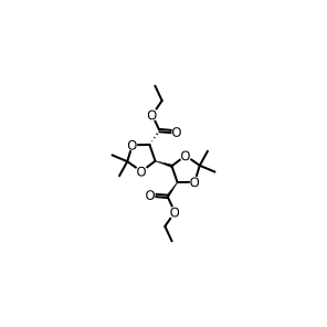 CCOC(=O)[C@H]1OC(C)(C)O[C@@H]1C1OC(C)(C)O[C@H]1C(=O)OCC